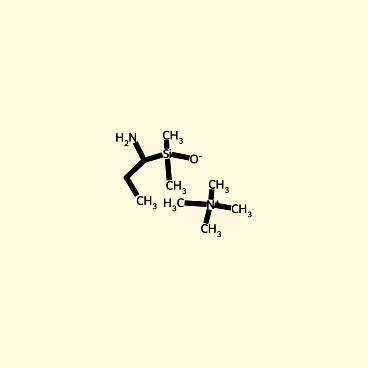 CCC(N)[Si](C)(C)[O-].C[N+](C)(C)C